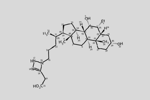 CC[C@H]1[C@@H](O)[C@@H]2[C@H](CC[C@]3(C)[C@@H]([C@H](C)CCCn4[nH]nc4CC(=O)O)CC[C@@H]23)[C@@]2(C)CC[C@@H](O)C[C@@H]12